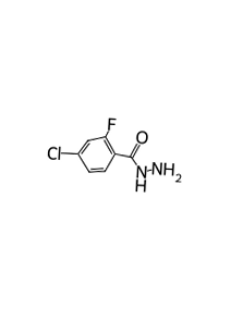 NNC(=O)c1ccc(Cl)cc1F